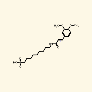 COc1ccc(/C=C/C(=O)NCCCCCCCCCS(=O)(=O)O)cc1OC